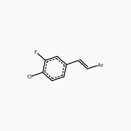 CC(=O)/C=C/c1ccc(Cl)c(F)c1